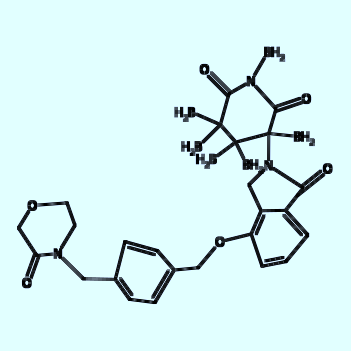 BN1C(=O)C(B)(B)C(B)(B)C(B)(N2Cc3c(OCc4ccc(CN5CCOCC5=O)cc4)cccc3C2=O)C1=O